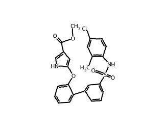 COC(=O)c1c[nH]c(Oc2ccccc2-c2cccc(S(=O)(=O)Nc3ccc(Cl)cc3C)c2)c1